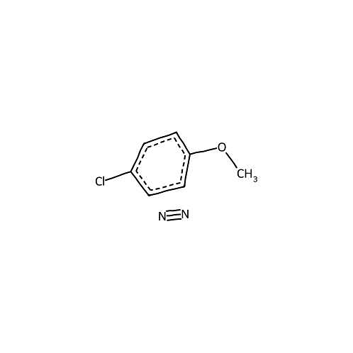 COc1ccc(Cl)cc1.N#N